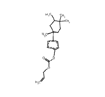 C=CCOC(=O)Oc1ccc(C2(C)CCC(C)(C)C(C)C2)cc1